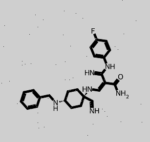 N=C[C@]1(N/C=C(\C(=N)Nc2ccc(F)cc2)C(N)=O)CC[C@@H](NCc2ccccc2)CC1